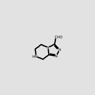 O=Cc1nnc2n1CCNC2